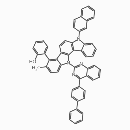 Cc1ccc2c(c1-c1ccccc1O)c1ccc3c(c4ccccc4n3-c3ccc4ccccc4c3)c1n2-c1nc(-c2ccc(-c3ccccc3)cc2)c2ccccc2n1